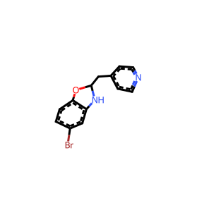 Brc1ccc2c(c1)NC(Cc1ccncc1)O2